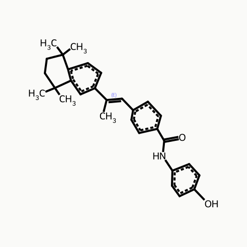 C/C(=C\c1ccc(C(=O)Nc2ccc(O)cc2)cc1)c1ccc2c(c1)C(C)(C)CCC2(C)C